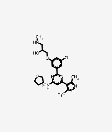 CNCC(O)COc1cc(Cl)cc(-c2nc(N[C@@H]3CCOC3)cc(-c3c(C)noc3C)n2)c1